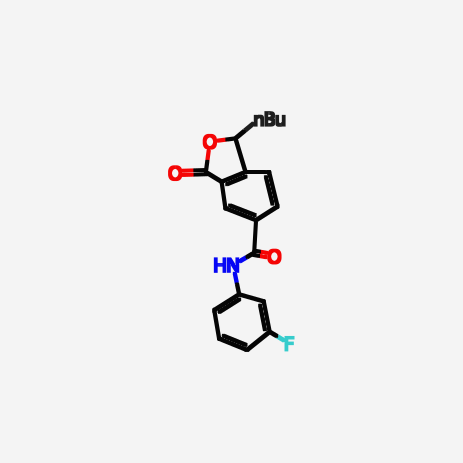 CCCCC1OC(=O)c2cc(C(=O)Nc3cccc(F)c3)ccc21